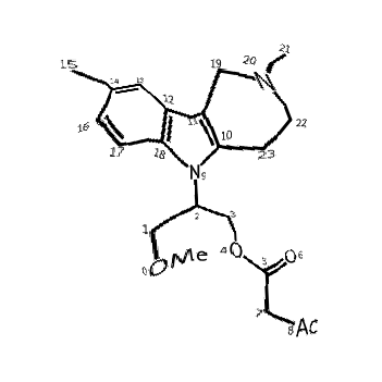 COCC(COC(=O)CC(C)=O)n1c2c(c3cc(C)ccc31)CN(C)CC2